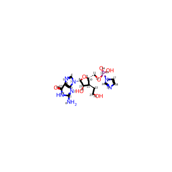 Nc1nc2c(ncn2[C@@H]2O[C@H](COP(=O)(O)n3ccnc3)[C@@H](CCO)[C@H]2O)c(=O)[nH]1